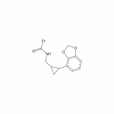 CCC(=O)NCC1CC1c1cccc2c1OCO2